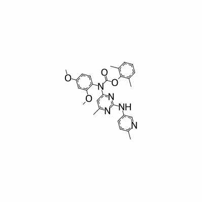 COc1ccc(N(C(=O)Oc2c(C)cccc2C)c2cc(C)nc(Nc3ccc(C)nc3)n2)c(OC)c1